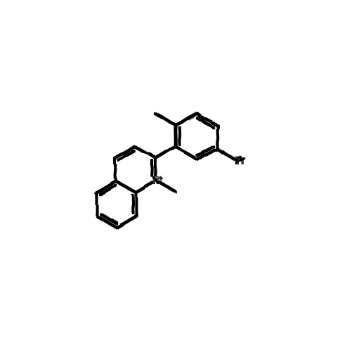 Cc1ccc(C(C)C)cc1-c1ccc2ccccc2[n+]1C